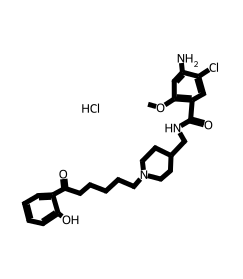 COc1cc(N)c(Cl)cc1C(=O)NCC1CCN(CCCCCC(=O)c2ccccc2O)CC1.Cl